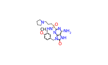 COc1ccc(Cn2c(=O)[nH]c3c(N)nc(S(=N)(=O)CCCN4CCCC4)nc32)cc1